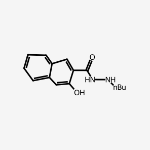 CCCCNNC(=O)c1cc2ccccc2cc1O